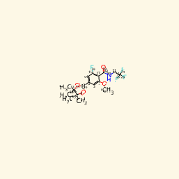 COc1cc(B2OC(C)(C)C(C)(C)O2)cc(F)c1C(=O)NCC(F)(F)F